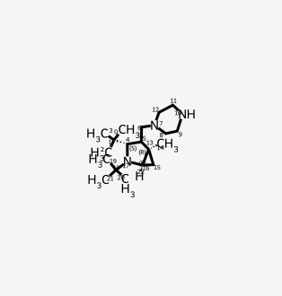 CC(C)(C)[C@@H]1C(CN2CCNCC2)[C@@]2(C)C[C@H]2N1C(C)(C)C